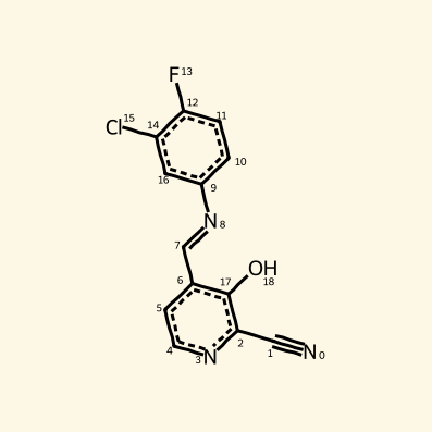 N#Cc1nccc(/C=N/c2ccc(F)c(Cl)c2)c1O